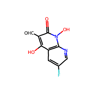 O=Cc1c(O)c2cc(F)cnc2n(O)c1=O